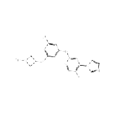 CCc1cc(Nc2ncc(F)c(-n3ccnc3)n2)cc(OC2CN(CC)C2)c1